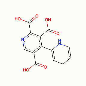 O=C(O)c1cnc(C(=O)O)c(C(=O)O)c1C1=CCC=CN1